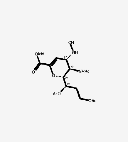 COC(=O)C1=C[C@H](NC#N)[C@@H](NC(C)=O)[C@H]([C@@H](CCOC(C)=O)OC(C)=O)O1